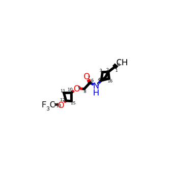 C#CC12CC(NC(=O)COC3CC(OC(F)(F)F)C3)(C1)C2